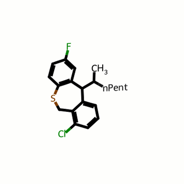 CCCCCC(C)C1c2cc(F)ccc2SCc2c(Cl)cccc21